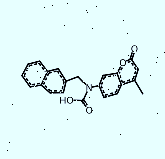 Cc1cc(=O)oc2cc(N(Cc3ccc4ccccc4c3)C(=O)O)ccc12